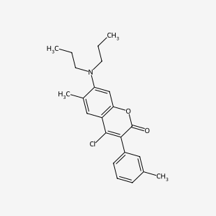 CCCN(CCC)c1cc2oc(=O)c(-c3cccc(C)c3)c(Cl)c2cc1C